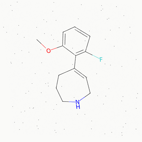 COc1cccc(F)c1C1=CCNCCC1